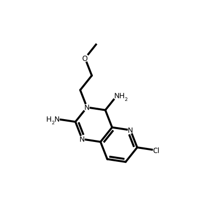 COCCN1C(N)=Nc2ccc(Cl)nc2C1N